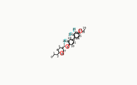 CCCC1CCC(COc2ccc(-c3ccc(OCC)c(F)c3F)cc2F)CO1